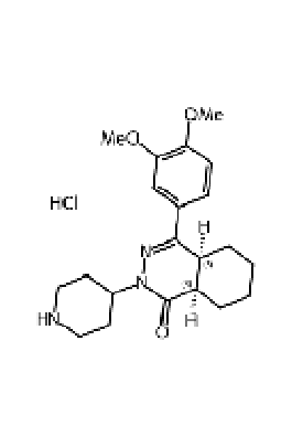 COc1ccc(C2=NN(C3CCNCC3)C(=O)[C@@H]3CCCC[C@H]23)cc1OC.Cl